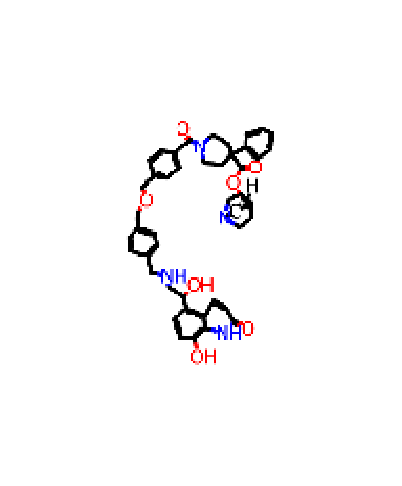 O=C(c1ccc(COCc2ccc(CNCC(O)c3ccc(O)c4[nH]c(=O)ccc34)cc2)cc1)N1CCC(C(=O)O[C@H]2CN3CCC2CC3)(c2ccccc2)CC1